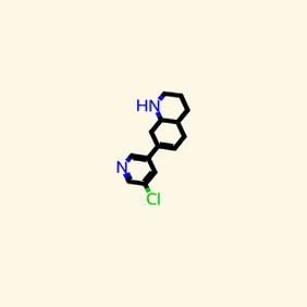 Clc1cncc(C2=CCC3CCCNC3C2)c1